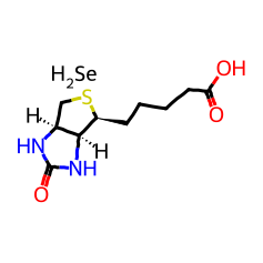 O=C(O)CCCC[C@@H]1SC[C@@H]2NC(=O)N[C@@H]21.[SeH2]